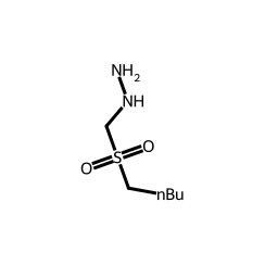 CCCCCS(=O)(=O)CNN